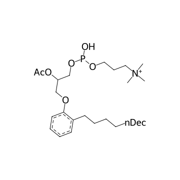 CCCCCCCCCCCCCCc1ccccc1OCC(COP(O)OCCC[N+](C)(C)C)OC(C)=O